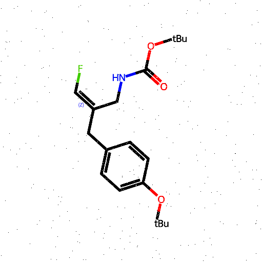 CC(C)(C)OC(=O)NC/C(=C\F)Cc1ccc(OC(C)(C)C)cc1